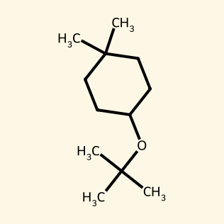 CC1(C)CCC(OC(C)(C)C)CC1